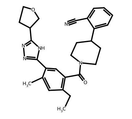 CCc1cc(C)c(-c2nnc(C3CCOC3)[nH]2)cc1C(=O)N1CCC(c2ccccc2C#N)CC1